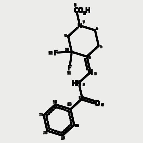 O=C(NN=C1CCN(C(=O)O)CC1(F)F)c1ccccc1